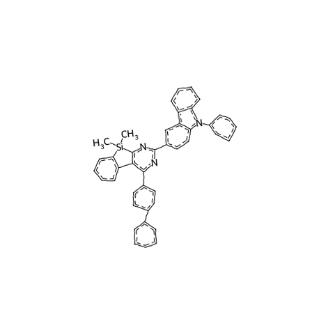 C[Si]1(C)c2ccccc2-c2c(-c3ccc(-c4ccccc4)cc3)nc(-c3ccc4c(c3)c3ccccc3n4-c3ccccc3)nc21